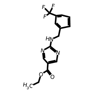 CCOC(=O)c1cnc(NCc2cccc(C(F)(F)F)c2)nc1